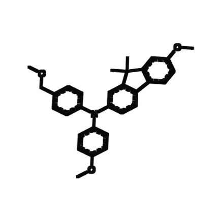 COCc1ccc(N(c2ccc(OC)cc2)c2ccc3c(c2)C(C)(C)c2cc(OC)ccc2-3)cc1